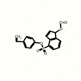 C=Cc1ccc(OS(=O)(=O)c2cccc3c2C=CC3OC=O)cc1